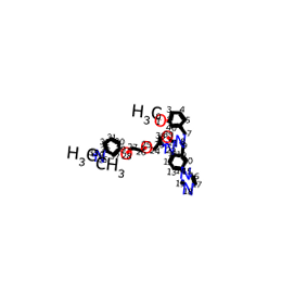 COc1cccc(CN(Cc2cccc(-n3ccnc3)c2)c2nc(COCCOc3cccc(N(C)C)c3)co2)c1